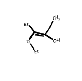 CCOC(CC)=C(C)O